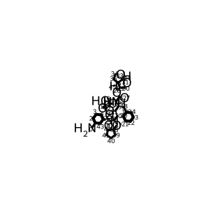 Nc1cccc(S(=O)(=O)N(C[C@@H](OP(=O)(O)O)[C@H](Cc2ccccc2)NC(=O)O[C@H]2CO[C@H]3OCC[C@H]32)OC2CCCC2)c1